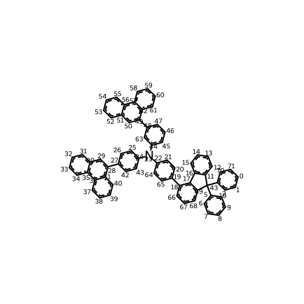 c1ccc(C2(c3ccccc3)c3ccccc3-c3c(-c4ccc(N(c5ccc(-c6cc7ccccc7c7ccccc67)cc5)c5cccc(-c6cc7ccccc7c7ccccc67)c5)cc4)cccc32)cc1